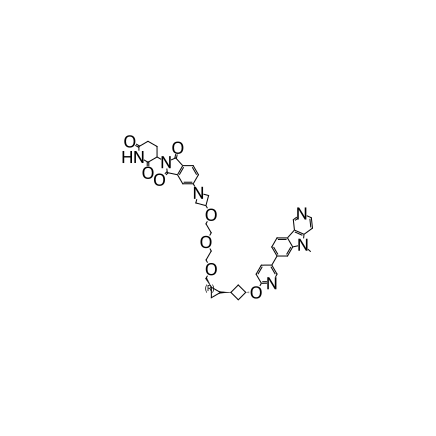 Cn1c2ccncc2c2ccc(-c3ccc(O[C@H]4C[C@H](C5C[C@H]5COCCOCCOC5CN(c6ccc7c(c6)C(=O)N(C6CCC(=O)NC6=O)C7=O)C5)C4)nc3)cc21